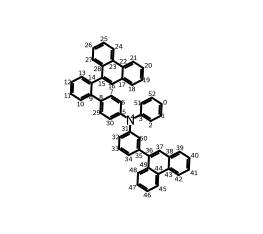 c1ccc(N(c2ccc(-c3ccccc3-c3cc4ccccc4c4ccccc34)cc2)c2cccc(-c3cc4ccccc4c4ccccc34)c2)cc1